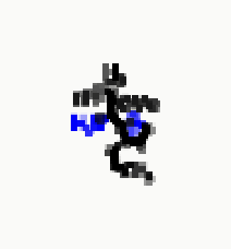 C/C=C\[C@@H]1CCN[C@H]1[C@@H](N)[C@](C)(CCC)OC